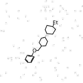 CC[C@H]1CC[C@H](C2CCC(COc3ccccc3)CC2)CC1